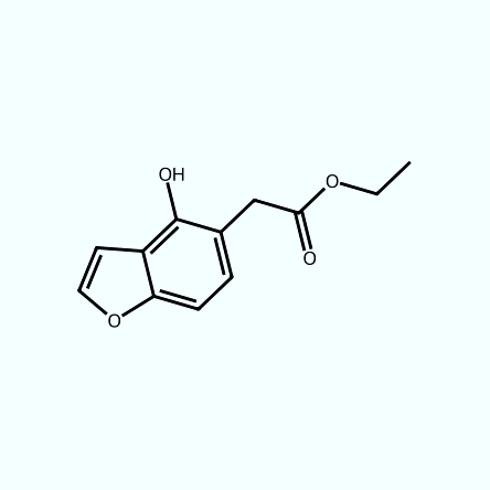 CCOC(=O)Cc1ccc2occc2c1O